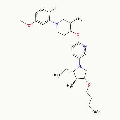 CCOc1ccc(F)c(N2CCC(Oc3ccc(N4C[C@H](OCCCOC)[C@@H](C)[C@@H]4CC(=O)O)cn3)C(C)C2)c1